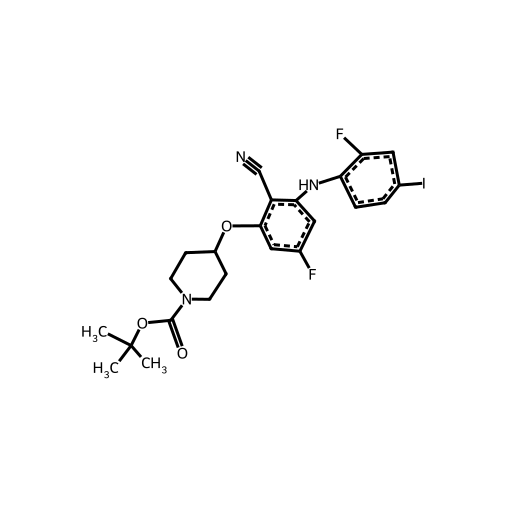 CC(C)(C)OC(=O)N1CCC(Oc2cc(F)cc(Nc3ccc(I)cc3F)c2C#N)CC1